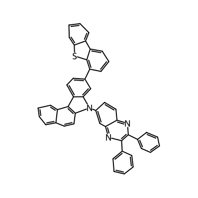 c1ccc(-c2nc3ccc(-n4c5cc(-c6cccc7c6sc6ccccc67)ccc5c5c6ccccc6ccc54)cc3nc2-c2ccccc2)cc1